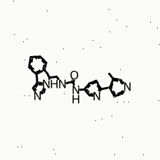 Cc1cnccc1-c1ccc(NC(=O)NCC2c3ccccc3-c3cncn32)cn1